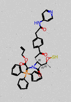 C=CCOC(=O)C(N1C(=O)[C@H]([C@@H](C)OS)[C@H]1CC(=O)c1ccc(CC(=O)Nc2ccncc2)cc1)=P(c1ccccc1)(c1ccccc1)c1ccccc1